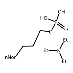 CCCCCCCCCCCCOP(=O)(O)O.CCN(CC)CC